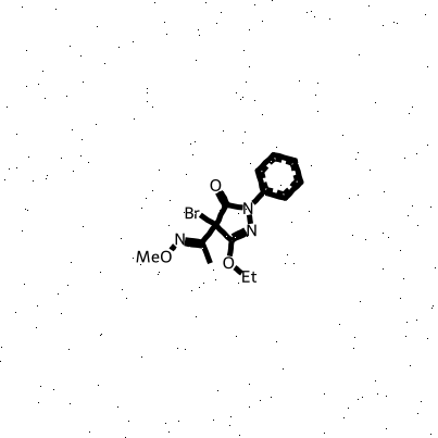 CCOC1=NN(c2ccccc2)C(=O)C1(Br)C(C)=NOC